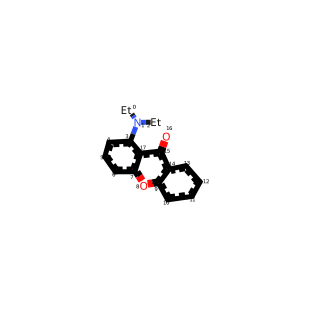 CCN(CC)c1cccc2oc3ccccc3c(=O)c12